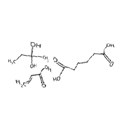 C=CC(=O)O.CCC(C)(O)O.O=C(O)CCCCC(=O)O